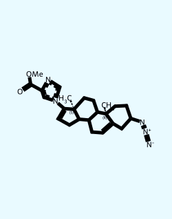 COC(=O)c1cn(C2=CCC3C4CC=C5CC(N=[N+]=[N-])CC[C@]5(C)C4CC[C@]23C)cn1